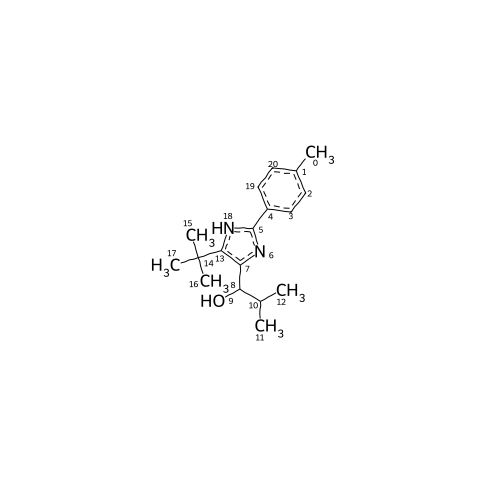 Cc1ccc(-c2nc(C(O)C(C)C)c(C(C)(C)C)[nH]2)cc1